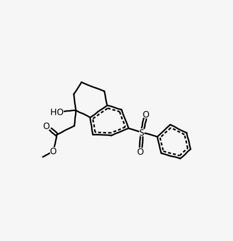 COC(=O)CC1(O)CCCc2cc(S(=O)(=O)c3ccccc3)ccc21